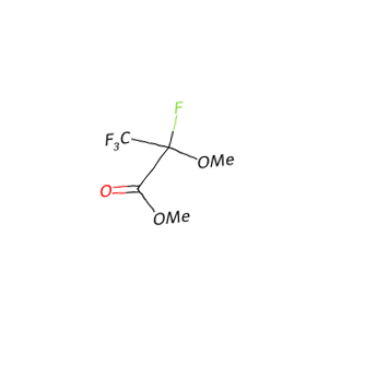 COC(=O)C(F)(OC)C(F)(F)F